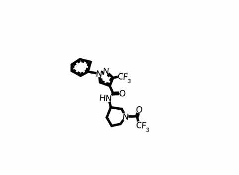 O=C(NC1CCCN(C(=O)C(F)(F)F)C1)c1cn(-c2ccccc2)nc1C(F)(F)F